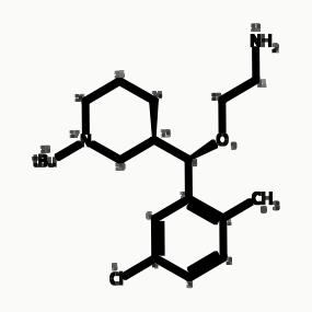 Cc1ccc(Cl)cc1[C@H](OCCN)[C@@H]1CCCN(C(C)(C)C)C1